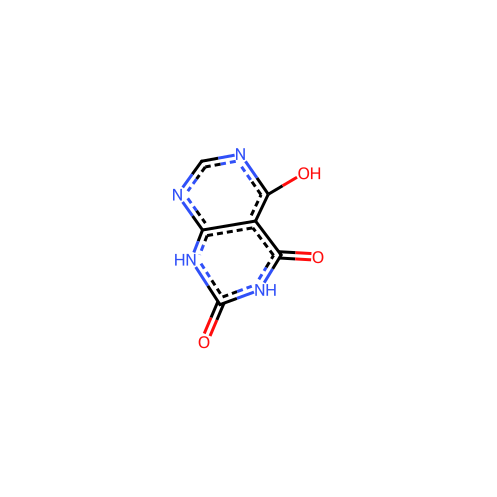 O=c1[nH]c(=O)c2c(O)ncnc2[nH]1